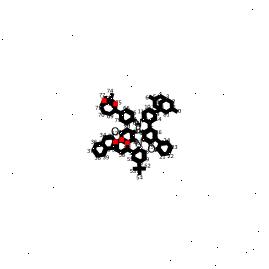 CC1CC2CC(C)CC(c3ccc4c(c3)-c3cc5c(oc6ccccc65)c5c3B(c3cc6oc7cc8ccccc8cc7c6cc3N5c3ccc(C(C)(C)C)cc3-c3ccccc3)N4c3ccc(C45CCC(CC(C)C4)C(C)C5)cc3)(C1)C2